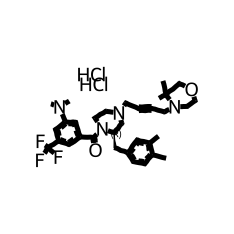 Cc1ccc(C[C@@H]2CN(CC#CCN3CCOCC3(C)C)CCN2C(=O)c2cc(N(C)C)cc(C(F)(F)F)c2)cc1C.Cl.Cl